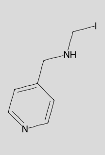 ICNCc1ccncc1